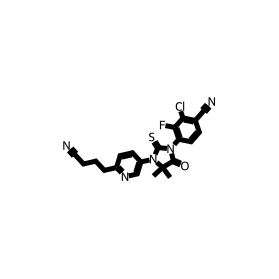 CC1(C)C(=O)N(c2ccc(C#N)c(Cl)c2F)C(=S)N1c1ccc(CCCC#N)nc1